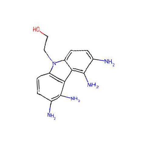 Nc1ccc2c(c1N)c1c(N)c(N)ccc1n2CCO